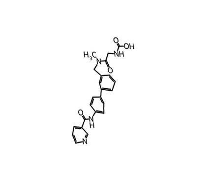 CN(Cc1cccc(-c2ccc(NC(=O)c3cccnc3)cc2)c1)C(=O)CNC(=O)O